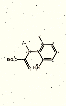 CCOC(=O)C(=O)N(CC)c1c(C)cccc1N